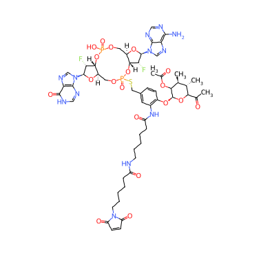 CC(=O)OC1[C@H](Oc2ccc(CSP3(=O)OC[C@H]4O[C@@H](n5cnc6c(=O)[nH]cnc65)[C@H](F)[C@@H]4OP(=O)(O)OC[C@H]4O[C@@H](n5cnc6c(N)ncnc65)[C@H](F)[C@@H]4O3)cc2NC(=O)CCCCCNC(=O)CCCCCN2C(=O)C=CC2=O)OC(C(C)=O)[C@@H](C)[C@@H]1C